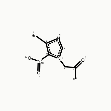 CC(=O)Cn1cnc(Br)c1[N+](=O)[O-]